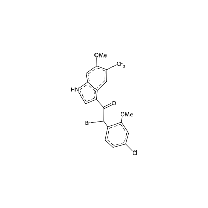 COc1cc(Cl)ccc1C(Br)C(=O)c1c[nH]c2cc(OC)c(C(F)(F)F)cc12